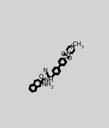 CN1CCN(S(=O)(=O)c2ccc(-c3ccc(C[C@H](C#N)NC(=O)[C@@]4(N)CCc5ccccc5C4)cc3)cc2)CC1